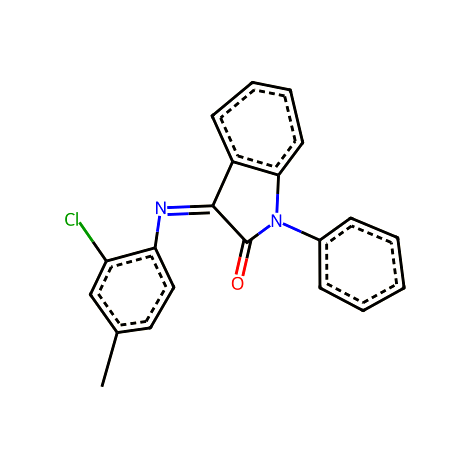 Cc1ccc(N=C2C(=O)N(c3ccccc3)c3ccccc32)c(Cl)c1